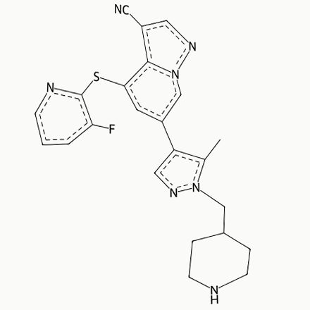 Cc1c(-c2cc(Sc3ncccc3F)c3c(C#N)cnn3c2)cnn1CC1CCNCC1